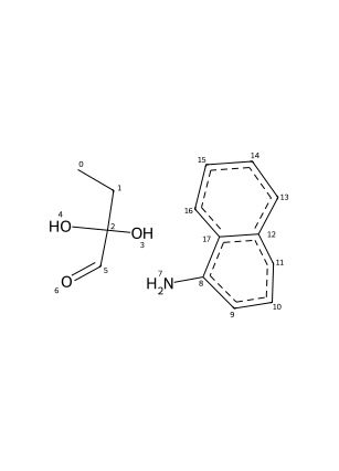 CCC(O)(O)C=O.Nc1cccc2ccccc12